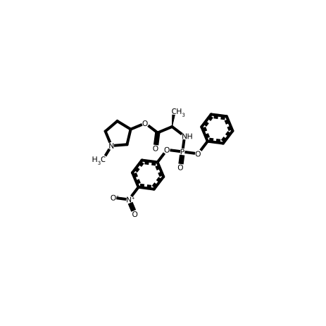 C[C@@H](NP(=O)(Oc1ccccc1)Oc1ccc([N+](=O)[O-])cc1)C(=O)OC1CCN(C)C1